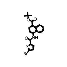 CC(C)(C)OC(=O)c1ccc(NC(=O)c2ccc(Br)s2)c2ccccc12